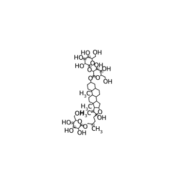 C[C@@H](CC[C@@]1(O)OC2CC3C4CCC5CC(O[C@@H]6OC(CO)[C@H](O)[C@H](O)C6O[C@@H]6OC(CO)[C@@H](O)[C@H](O)C6O)CCC5(C)C4CCC3(C)C2[C@@H]1C)CO[C@@H]1OC(CO)[C@@H](O)[C@H](O)C1O